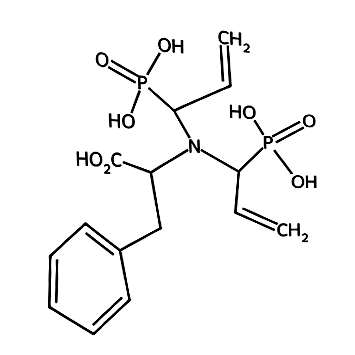 C=CC(N(C(Cc1ccccc1)C(=O)O)C(C=C)P(=O)(O)O)P(=O)(O)O